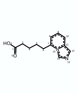 O=C(O)CCCCc1cccc2cncn12